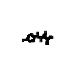 CCN(CC)C(=O)NNc1ccc(F)cn1